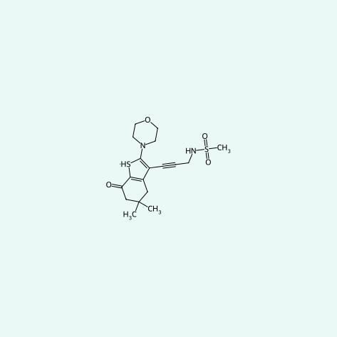 CC1(C)CC(=O)C2=C(C1)C(C#CCNS(C)(=O)=O)=C(N1CCOCC1)[SH]2